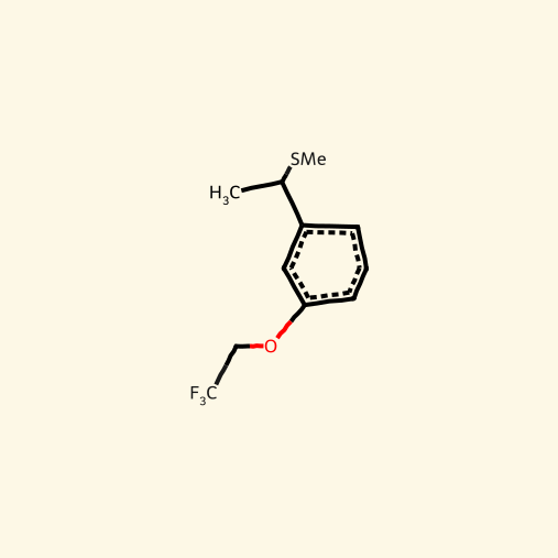 CSC(C)c1cccc(OCC(F)(F)F)c1